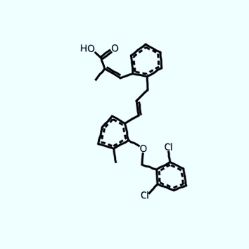 CC(=Cc1ccccc1CC=Cc1cccc(C)c1OCc1c(Cl)cccc1Cl)C(=O)O